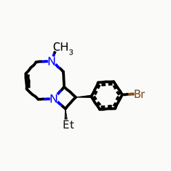 CC[C@@H]1[C@H](c2ccc(Br)cc2)C2CN(C)C/C=C\CN21